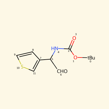 CC(C)(C)OC(=O)NC(C=O)c1ccsc1